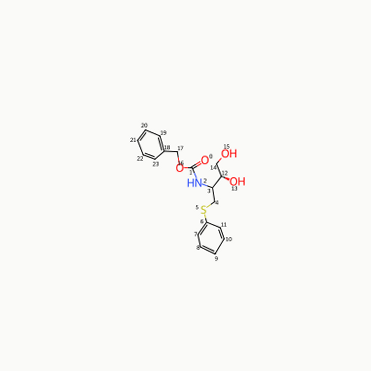 O=C(NC(CSc1ccccc1)[C@H](O)CO)OCc1ccccc1